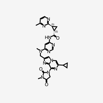 Cc1ccnc([C@H]2C[C@@H]2C(=O)Nc2cc(N(C)Cc3cn4cc(C5CC5)nc(N5CC(=O)N(C)C5=O)c4n3)ncn2)n1